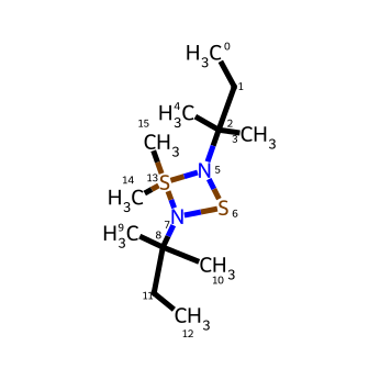 CCC(C)(C)N1SN(C(C)(C)CC)S1(C)C